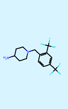 NC1CCN(Cc2ccc(C(F)(F)F)cc2C(F)(F)F)CC1